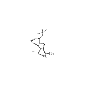 Cc1cnc(O)c2sc3c(CC(C)(C)C)cccc3c12